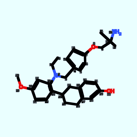 CCN(Cc1ccc(OCC(C)(C)N)cc1)c1cc(OC)ccc1C1CCc2cc(O)ccc2C1